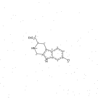 CCOC(=O)C1Cc2c([nH]c3cc(Cl)ccc23)CN1